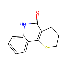 O=c1[nH]c2ccccc2c2c1CCCS2